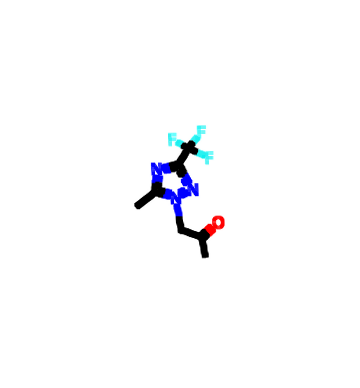 CC(=O)Cn1nc(C(F)(F)F)nc1C